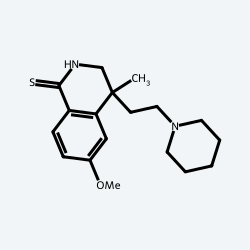 COc1ccc2c(c1)C(C)(CCN1CCCCC1)CNC2=S